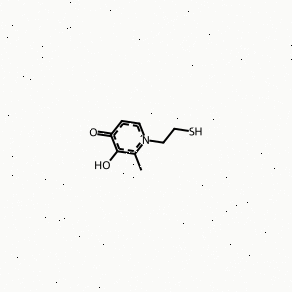 Cc1c(O)c(=O)ccn1CCS